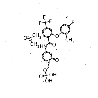 C[S+](C)[O-].Cc1cc(F)ccc1Oc1cc(C(F)(F)F)ccc1C(=O)Nc1ccn(COP(=O)(O)O)c(=O)c1